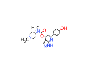 CN1CCC(N(C)C(=O)Oc2cc(-c3ccc(O)cc3)nc3[nH]ncc23)CC1